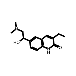 CCc1cc2cc(C(O)CN(C)C)ccc2[nH]c1=O